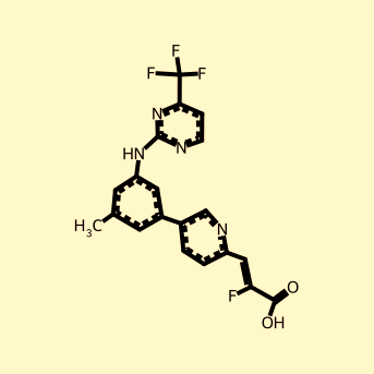 Cc1cc(Nc2nccc(C(F)(F)F)n2)cc(-c2ccc(C=C(F)C(=O)O)nc2)c1